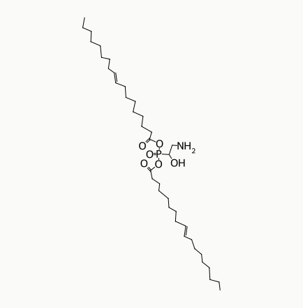 CCCCCCCCC=CCCCCCCCC(=O)OP(=O)(OC(=O)CCCCCCCC=CCCCCCCCC)C(O)CN